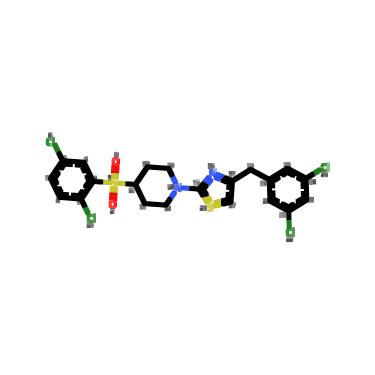 O=S(=O)(c1cc(Cl)ccc1Cl)C1CCN(c2nc(Cc3cc(Cl)cc(Cl)c3)cs2)CC1